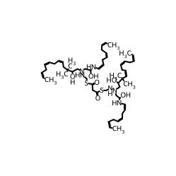 C/C=C\C/C=C\C/C=C\CC(C)(C)C(O)CN(CC(O)N/C=C\C/C=C\C/C=C\C)NCSC(=O)CC(=O)SCNN(CC(O)N/C=C\C/C=C\C/C=C\C)CC(O)C(C)(C)/C=C\C/C=C\C/C=C\C